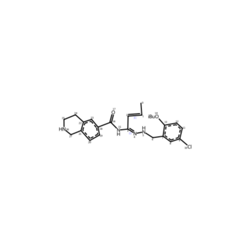 C/C=C/C(=N\NCc1cc(Cl)ccc1OCC(C)C)NC(=O)c1ccc2c(c1)CCNC2